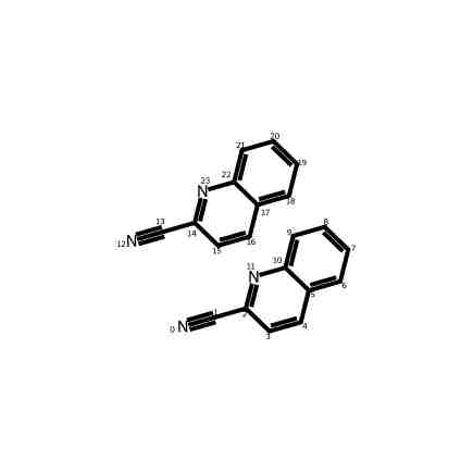 N#Cc1ccc2ccccc2n1.N#Cc1ccc2ccccc2n1